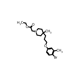 CCOC(=O)CN1CCC(C)(CCCOc2ccc(Br)c(C)c2)CC1